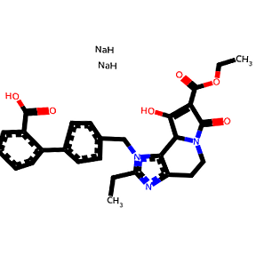 CCOC(=O)C1=C(O)C2c3c(nc(CC)n3Cc3ccc(-c4ccccc4C(=O)O)cc3)CCN2C1=O.[NaH].[NaH]